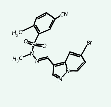 Cc1ccc(C#N)cc1S(=O)(=O)N(C)N=Cc1cnn2ccc(Br)cc12